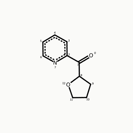 O=C(c1ccccn1)C1CCCO1